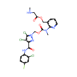 CNCC(=O)OCc1cccnc1N(C)C(=O)OCn1nc(C(=O)Nc2ccc(F)cc2Cl)c(Cl)c1Cl